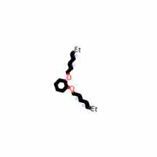 CC/C=C/C=C/COC1CCCCC1OC/C=C/C=C/CC